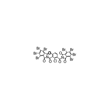 O=C(c1ccc(Cl)c(C(=O)N2C(=O)c3c(Br)c(Br)c(Br)c(Br)c3C2=O)c1Cl)N1C(=O)c2c(Br)c(Br)c(Br)c(Br)c2C1=O